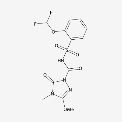 COc1nn(C(=O)NS(=O)(=O)c2ccccc2OC(F)F)c(=O)n1C